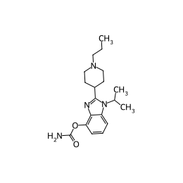 CCCN1CCC(c2nc3c(OC(N)=O)cccc3n2C(C)C)CC1